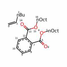 C=CCCCC.CCCCCCCCOC(=O)c1ccccc1C(=O)OCCCCCCCC